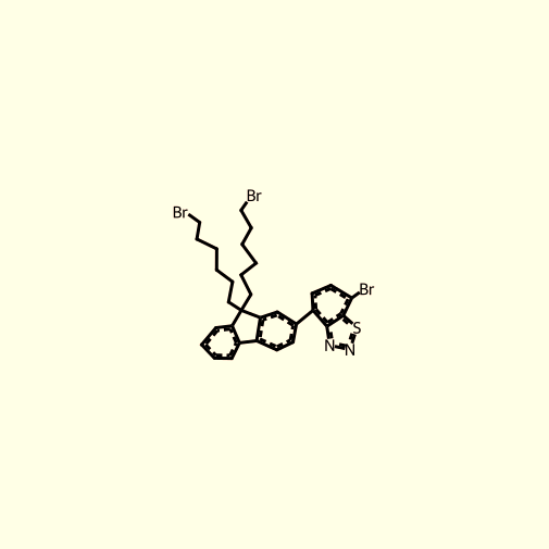 BrCCCCCCC1(CCCCCCBr)c2ccccc2-c2ccc(-c3ccc(Br)c4snnc34)cc21